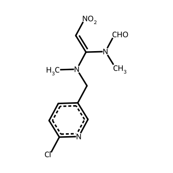 CN(C=O)C(=C[N+](=O)[O-])N(C)Cc1ccc(Cl)nc1